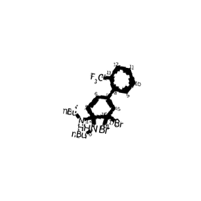 CCCCNC1(NCCCC)C=CC(c2ccccc2C(F)(F)F)=CC1(Br)Br